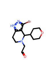 O=CCN1CCc2[nH]nc(Br)c2C1C1CCOCC1